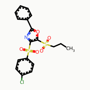 CCCS(=O)(=O)c1oc(-c2ccccc2)nc1S(=O)(=O)c1ccc(Cl)cc1